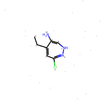 CCC1=CC(Cl)=NNC=C1N